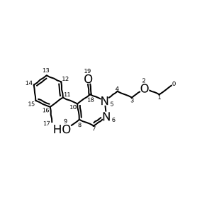 CCOCCn1ncc(O)c(-c2ccccc2C)c1=O